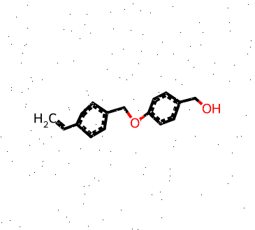 C=Cc1ccc(COc2ccc(CO)cc2)cc1